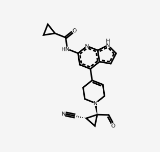 N#C[C@H]1C[C@]1(C=O)N1CC=C(c2cc(NC(=O)C3CC3)nc3[nH]ccc23)CC1